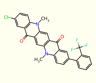 Cn1c2ccc(Cl)cc2c(=O)c2cc3c(cc21)c(=O)c1cc(-c2ccccc2C(F)(F)F)ccc1n3C